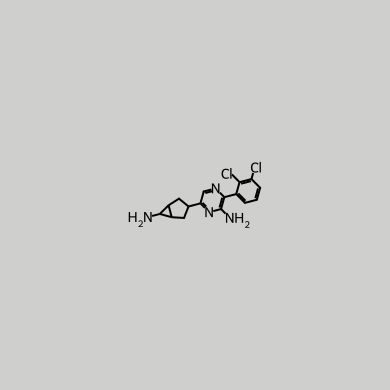 Nc1nc(C2CC3C(N)C3C2)cnc1-c1cccc(Cl)c1Cl